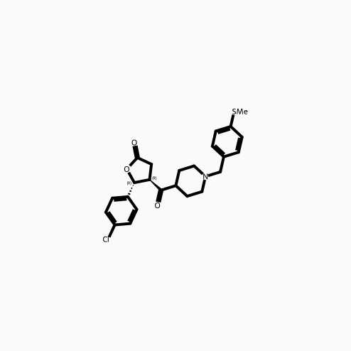 CSc1ccc(CN2CCC(C(=O)[C@@H]3CC(=O)O[C@H]3c3ccc(Cl)cc3)CC2)cc1